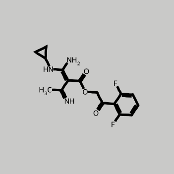 CC(=N)/C(C(=O)OCC(=O)c1c(F)cccc1F)=C(/N)NC1CC1